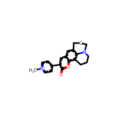 C[n+]1ccc(-c2cc3cc4c5c(c3oc2=O)CCCN5CCC4)cc1